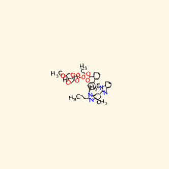 CCCc1nc2c(C)cc(-c3nc4ccccc4n3C)cc2n1Cc1ccc(-c2ccccc2C(=O)OC(C)OC(=O)O[C@@H]2CO[C@H]3[C@@H]2OC[C@H]3OC)cc1